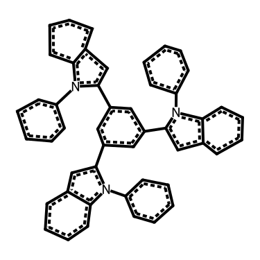 c1ccc(-n2c(-c3cc(-c4cc5ccccc5n4-c4ccccc4)cc(-c4cc5ccccc5n4-c4ccccc4)c3)cc3ccccc32)cc1